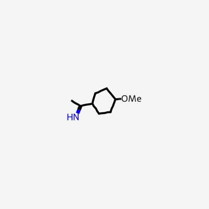 COC1CCC(C(C)=N)CC1